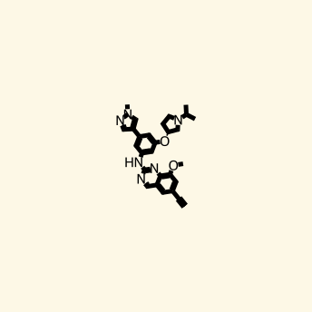 C#Cc1cc(OC)c2nc(Nc3cc(O[C@@H]4CCN(C(C)C)C4)cc(-c4cnn(C)c4)c3)ncc2c1